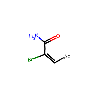 CC(=O)/C=C(/Br)C(N)=O